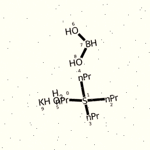 CCCS(CCC)(CCC)CCC.O.OBO.[KH]